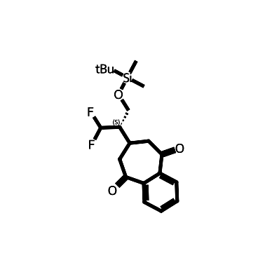 CC(C)(C)[Si](C)(C)OC[C@@H](C(F)F)C1CC(=O)c2ccccc2C(=O)C1